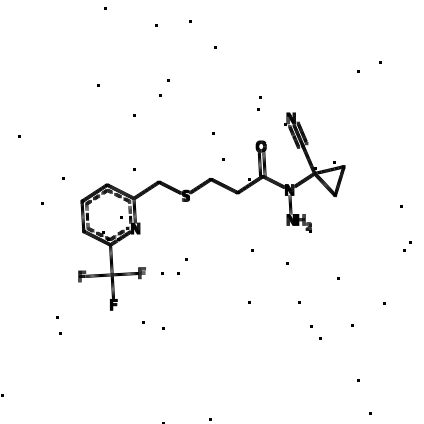 N#CC1(N(N)C(=O)CCSCc2cccc(C(F)(F)F)n2)CC1